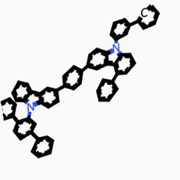 c1ccc(-c2cccc(-n3c4ccc(-c5ccc(-c6ccc7c(c6)c6ccccc6n7-c6cc(-c7ccccc7)ccc6-c6ccccc6)cc5)cc4c4c(-c5ccccc5)cccc43)c2)cc1